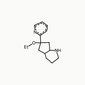 CCOC1(c2ccccn2)CC2CCCNC2C1